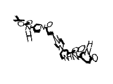 CC(C)(C)OC(=O)NC1CCN(C(=O)CCN2CCN(c3ccnc(C(=O)NC4CCC(=O)NC4=O)c3)CC2)CC1